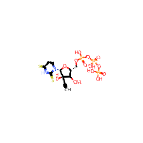 C#C[C@@]1(O)C(O)[C@@H](COP(=O)(O)OP(=O)(O)OP(=O)(O)O)O[C@H]1n1ccc(=S)[nH]c1=S